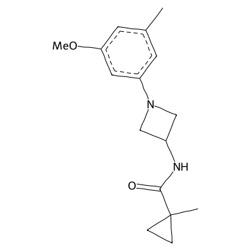 COc1cc(C)cc(N2CC(NC(=O)C3(C)CC3)C2)c1